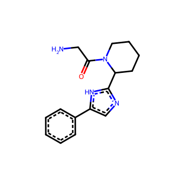 NCC(=O)N1CCCCC1c1ncc(-c2ccccc2)[nH]1